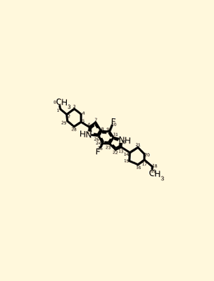 CCC1CCC(c2cc3c(F)c4[nH]c(C5CCC(CC)CC5)cc4c(F)c3[nH]2)CC1